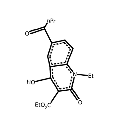 CCCC(=O)c1ccc2c(c1)c(O)c(C(=O)OCC)c(=O)n2CC